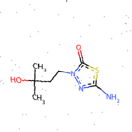 CC(C)(O)CCn1nc(N)sc1=O